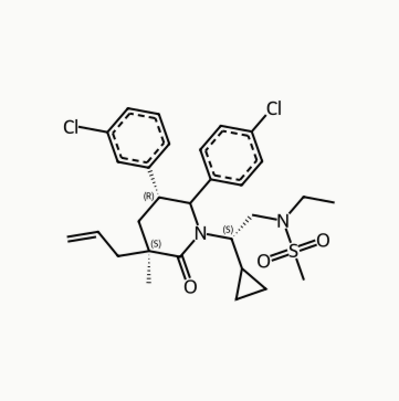 C=CC[C@@]1(C)C[C@H](c2cccc(Cl)c2)C(c2ccc(Cl)cc2)N([C@H](CN(CC)S(C)(=O)=O)C2CC2)C1=O